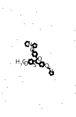 COc1ccc2c(C(=O)c3ccc(O[C@H]4CCC[C@@H]4N4CCCCC4)cc3)c(-c3ccc(OCCN4CCCC4)cc3)sc2c1